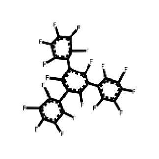 Fc1c(F)c(F)c(-c2c(F)c(-c3c(F)c(F)c(F)c(F)c3F)c(F)c(-c3c(F)c(F)c(F)c(F)c3F)c2F)c(F)c1F